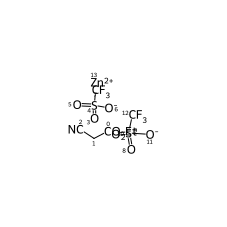 CCOC(=O)CC#N.O=S(=O)([O-])C(F)(F)F.O=S(=O)([O-])C(F)(F)F.[Zn+2]